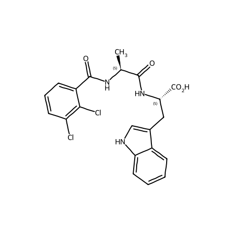 C[C@H](NC(=O)c1cccc(Cl)c1Cl)C(=O)N[C@@H](Cc1c[nH]c2ccccc12)C(=O)O